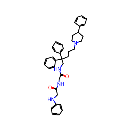 O=C(CNC(=O)CNc1ccccc1)NCC(CCCN1CCC(c2ccccc2)CC1)(c1ccccc1)c1ccccc1